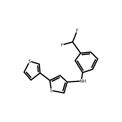 FC(F)c1cccc(Nc2csc(-c3ccsc3)c2)c1